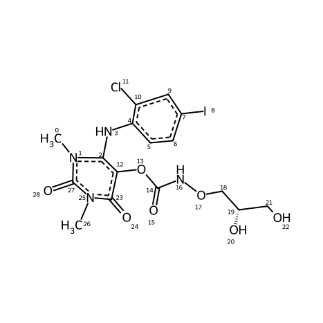 Cn1c(Nc2ccc(I)cc2Cl)c(OC(=O)NOC[C@@H](O)CO)c(=O)n(C)c1=O